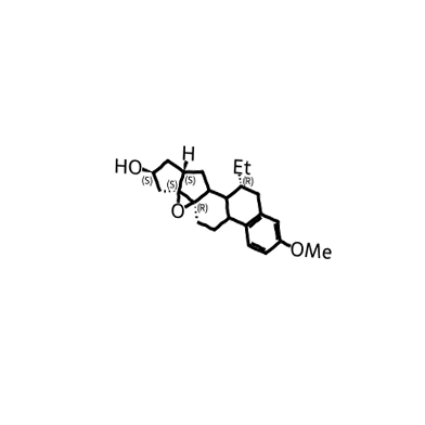 CC[C@@H]1Cc2cc(OC)ccc2C2CC[C@]34O[C@]35C[C@@H](O)C[C@@H]5CC4C21